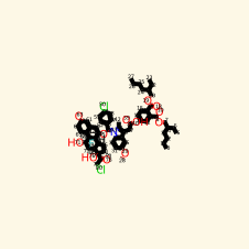 CCCCC(CC)COC(=O)c1ccccc1C(=O)OCC(CC)CCCC.COc1ccc2c(c1)c(CC(=O)O)c(C)n2C(=O)c1ccc(Cl)cc1.C[C@H]1C[C@H]2[C@@H]3CCC4=CC(=O)C=C[C@]4(C)[C@@]3(F)[C@@H](O)C[C@]2(C)[C@@]1(O)C(=O)CCl